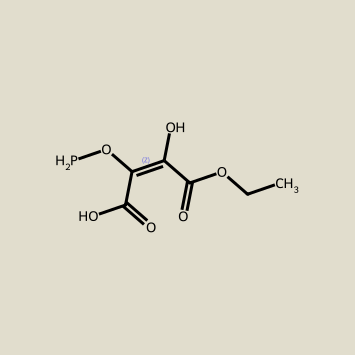 CCOC(=O)/C(O)=C(/OP)C(=O)O